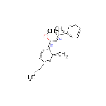 C=c1cc(CCC)cc/c1=C(/C=C(\C)c1ccccc1)OC